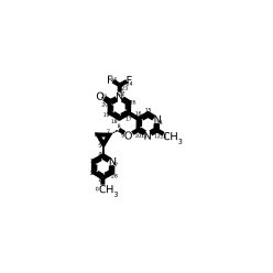 Cc1ccc([C@H]2C[C@@H]2COc2nc(C)ncc2-c2ccc(=O)n(C(F)F)c2)nc1